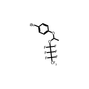 CCC(C)c1ccc(OC(C)OC(F)(F)C(F)(F)C(F)(F)C(F)(F)F)cc1